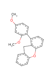 COc1ccc(-c2cccc3c2Cc2ccccc2O3)c(OC)c1